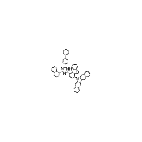 c1ccc(-c2ccc(C3=NC(c4cccc5ccccc45)=NC(c4ccc(-n5c6cc7ccccc7cc6c6cc7ccccc7cc65)c5oc6ccccc6c45)N3)cc2)cc1